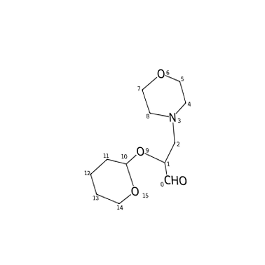 O=CC(CN1CCOCC1)OC1CCCCO1